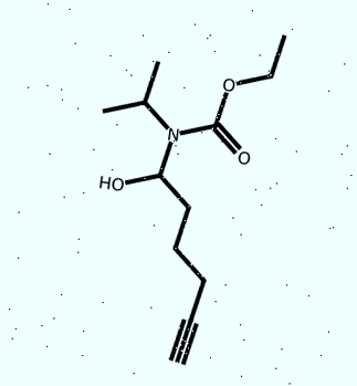 C#CCCCC(O)N(C(=O)OCC)C(C)C